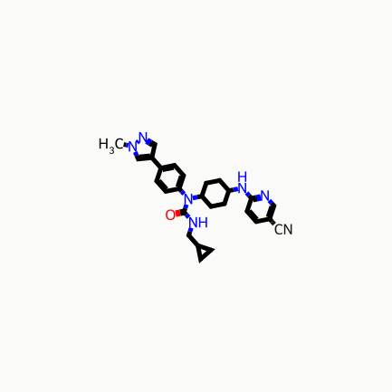 Cn1cc(-c2ccc(N(C(=O)NCC3CC3)C3CCC(Nc4ccc(C#N)cn4)CC3)cc2)cn1